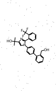 CC(C)(O)c1cn(-c2ccc(-c3ccccc3CO)cc2)c(-c2ccccc2C(F)(F)F)n1